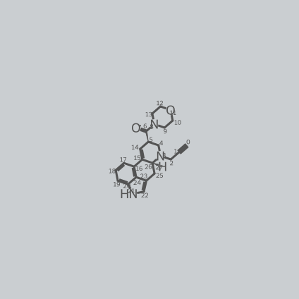 C#CCN1C[C@H](C(=O)N2CCOCC2)C=C2c3cccc4[nH]cc(c34)C[C@H]21